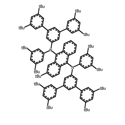 CC(C)(C)c1cc(-c2cc(-c3cc(C(C)(C)C)cc(C(C)(C)C)c3)cc(N(c3cc(C(C)(C)C)cc(C(C)(C)C)c3)c3c4ccccc4c(N(c4cc(-c5cc(C(C)(C)C)cc(C(C)(C)C)c5)cc(-c5cc(C(C)(C)C)cc(C(C)(C)C)c5)c4)c4cc(C(C)(C)C)cc(C(C)(C)C)c4)c4cc(C(C)(C)C)ccc34)c2)cc(C(C)(C)C)c1